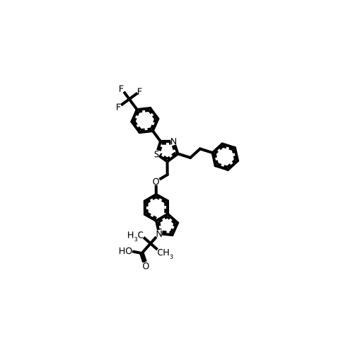 CC(C)(C(=O)O)n1ccc2cc(OCc3sc(-c4ccc(C(F)(F)F)cc4)nc3CCc3ccccc3)ccc21